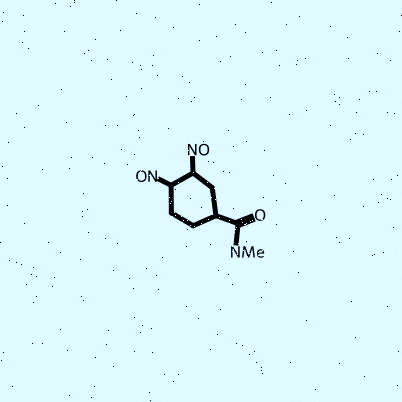 CNC(=O)C1CCC(N=O)C(N=O)C1